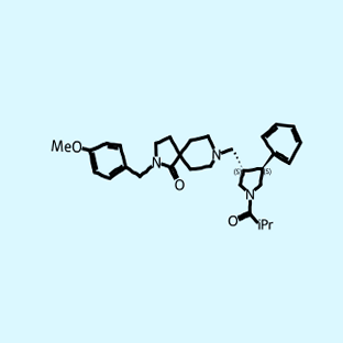 COc1ccc(CN2CCC3(CCN(C[C@H]4CN(C(=O)C(C)C)C[C@@H]4c4ccccc4)CC3)C2=O)cc1